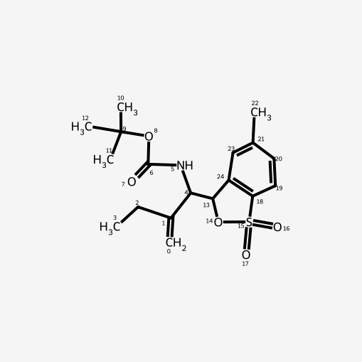 C=C(CC)C(NC(=O)OC(C)(C)C)C1OS(=O)(=O)c2ccc(C)cc21